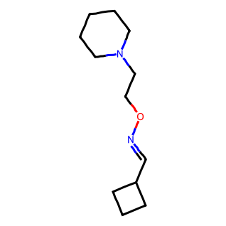 C(=NOCCN1CCCCC1)C1CCC1